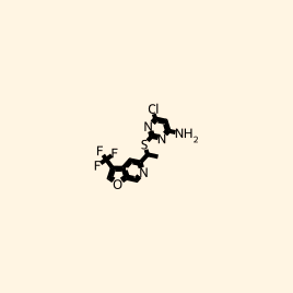 CC(Sc1nc(N)cc(Cl)n1)c1cc2c(C(F)(F)F)coc2cn1